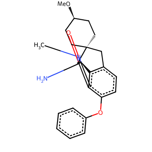 CO[C@H]1CC[C@]2(CC1)Cc1ccc(Oc3ccccc3)cc1[C@@]21N=C(N)N(C)C1=O